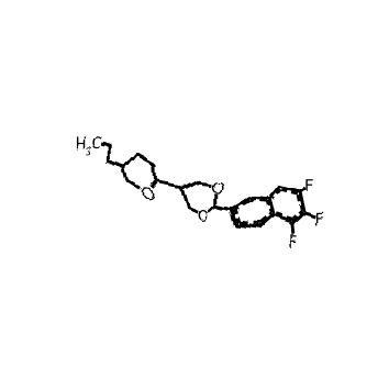 CCCC1CCC(C2COC(c3ccc4c(F)c(F)c(F)cc4c3)OC2)OC1